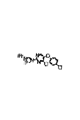 CC(C)N(/C=N/c1ncc(Oc2ccc(Cl)cc2)c(Cl)n1)C(C)C